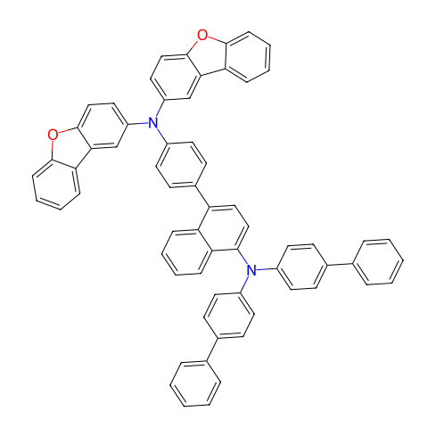 c1ccc(-c2ccc(N(c3ccc(-c4ccccc4)cc3)c3ccc(-c4ccc(N(c5ccc6oc7ccccc7c6c5)c5ccc6oc7ccccc7c6c5)cc4)c4ccccc34)cc2)cc1